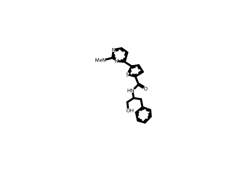 CNc1nccc(-c2ccc(C(=O)NC(CO)Cc3ccccc3)s2)n1